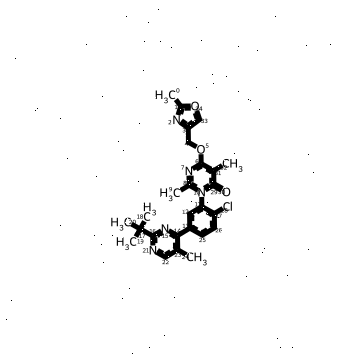 Cc1nc(COc2nc(C)n(-c3cc(-c4nc(C(C)(C)C)ncc4C)ccc3Cl)c(=O)c2C)co1